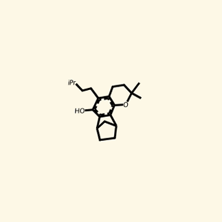 CC(C)CCc1c(O)c2c(c3c1CCC(C)(C)O3)C1CCC2C1